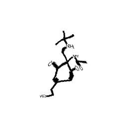 CC(=O)NC1(CNC(C)(C)C)C(Cl)=CC(CO)=CC1Cl